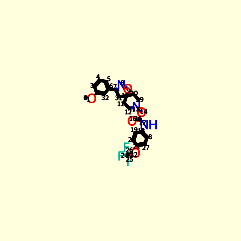 COc1cccc(C2=NOC3(CCN(OC(=O)Nc4ccc(OC(F)(F)F)cc4)CC3)C2)c1